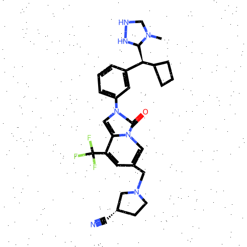 CN1CNNC1[C@H](c1cccc(-n2cc3c(C(F)(F)F)cc(CN4CC[C@H](C#N)C4)cn3c2=O)c1)C1CCC1